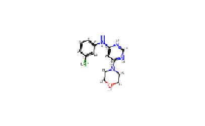 Brc1cccc(Nc2cc(N3CCOCC3)ncn2)c1